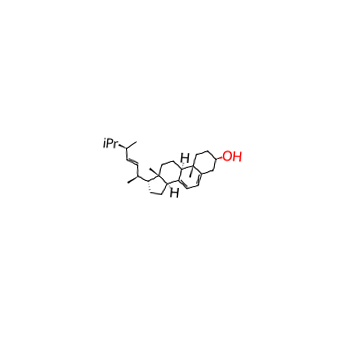 CC(C)[C@@H](C)/C=C/[C@H](C)[C@H]1CC[C@@H]2C3=CC=C4C[C@H](O)CC[C@@]4(C)[C@@H]3CC[C@]21C